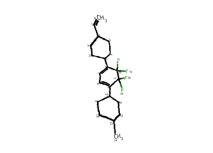 C=CC1CCC(C2=CC=C(C3CCC(C)CC3)C(F)(F)C2(F)F)CC1